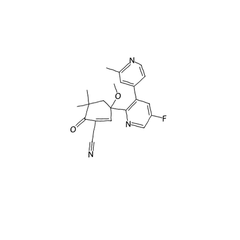 COC1(c2ncc(F)cc2-c2ccnc(C)c2)C=C(C#N)C(=O)C(C)(C)C1